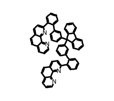 c1cc(-c2ccccc2-c2ccc3ccc4cccnc4c3n2)cc(C2(c3cccc(-c4ccccc4-c4ccc5ccc6cccnc6c5n4)c3)c3ccccc3-c3ccccc32)c1